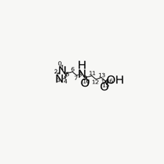 Cn1cncc1CCNC(=O)CCCC(=O)O